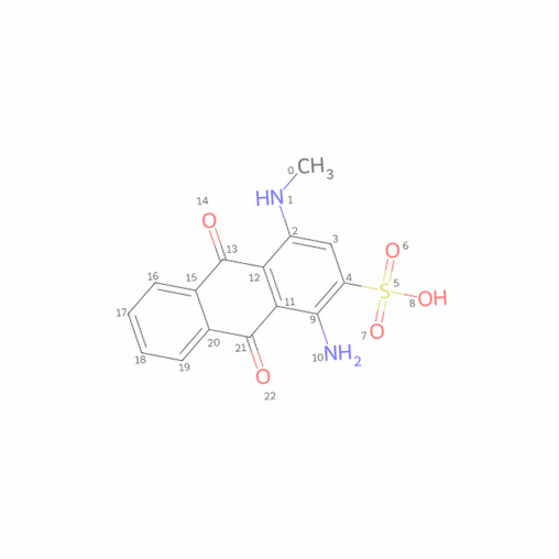 CNc1cc(S(=O)(=O)O)c(N)c2c1C(=O)c1ccccc1C2=O